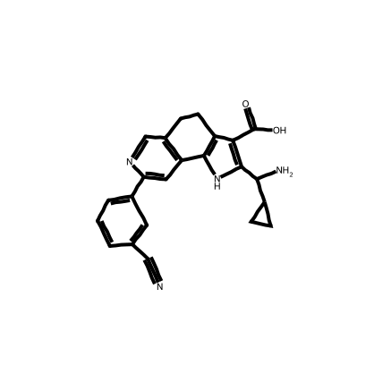 N#Cc1cccc(-c2cc3c(cn2)CCc2c-3[nH]c(C(N)C3CC3)c2C(=O)O)c1